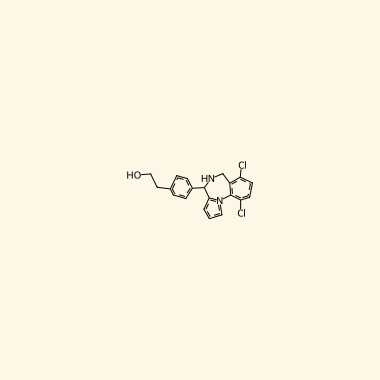 OCCc1ccc(C2NCc3c(Cl)ccc(Cl)c3-n3cccc32)cc1